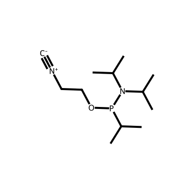 [C-]#[N+]CCOP(C(C)C)N(C(C)C)C(C)C